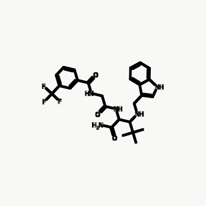 CC(C)(C)C(NCc1c[nH]c2ccccc12)C(NC(=O)CNC(=O)c1cccc(C(F)(F)F)c1)C(N)=O